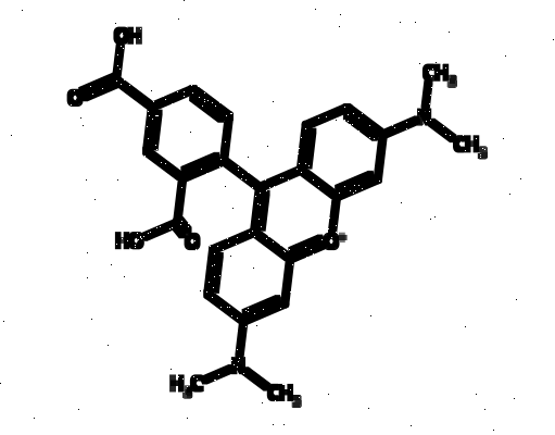 CN(C)c1ccc2c(-c3ccc(C(=O)O)cc3C(=O)O)c3ccc(N(C)C)cc3[o+]c2c1